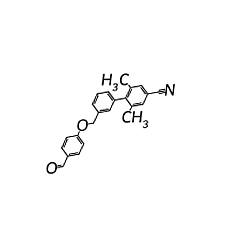 Cc1cc(C#N)cc(C)c1-c1cccc(COc2ccc(C=O)cc2)c1